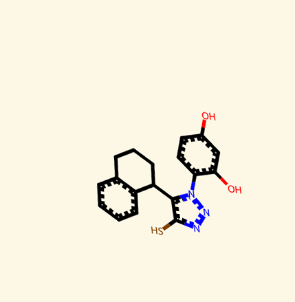 Oc1ccc(-n2nnc(S)c2C2CCCc3ccccc32)c(O)c1